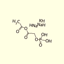 CC(=O)OC(=O)COP(=O)(O)O.[KH].[NaH].[NaH]